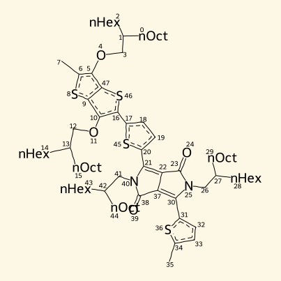 CCCCCCCCC(CCCCCC)COc1c(C)sc2c(OCC(CCCCCC)CCCCCCCC)c(-c3ccc(C4=C5C(=O)N(CC(CCCCCC)CCCCCCCC)C(c6ccc(C)s6)=C5C(=O)N4CC(CCCCCC)CCCCCCCC)s3)sc12